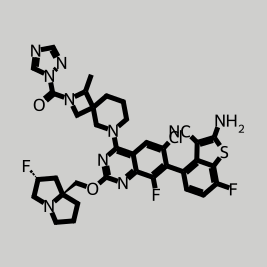 CC1N(C(=O)n2cncn2)CC12CCCN(c1nc(OC[C@@]34CCCN3C[C@H](F)C4)nc3c(F)c(-c4ccc(F)c5sc(N)c(C#N)c45)c(Cl)cc13)C2